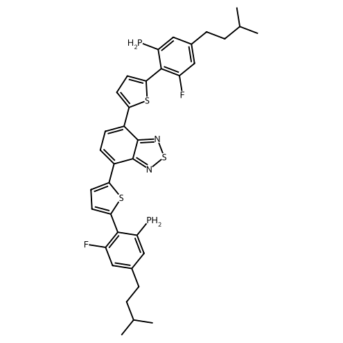 CC(C)CCc1cc(F)c(-c2ccc(-c3ccc(-c4ccc(-c5c(F)cc(CCC(C)C)cc5P)s4)c4nsnc34)s2)c(P)c1